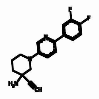 C#CC1(N)CCCN(c2ccc(-c3ccc(F)c(F)c3)nc2)C1